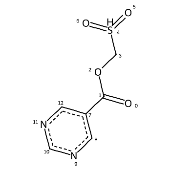 O=C(OC[SH](=O)=O)c1cncnc1